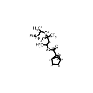 CCOC(C)OC(CC(C)OC(=O)C1CC2CCC1C2)(C(F)(F)F)C(F)(F)F